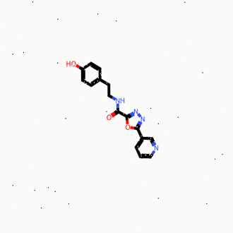 O=C(NCCc1ccc(O)cc1)c1nnc(-c2cccnc2)o1